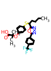 CCCCC(Sc1ccc(OC(C)(C)C(=O)O)cc1)c1nnc(-c2ccc(C(F)(F)F)cc2)o1